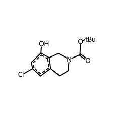 CC(C)(C)OC(=O)N1CCc2cc(Cl)cc(O)c2C1